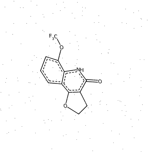 O=c1[nH]c2c(OC(F)(F)F)cccc2c2c1CCO2